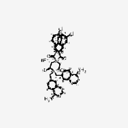 CCC[C@H]1C(=O)[N+](Cc2ccc3c(N)ncnc3c2)(Cc2ccc3c(N)ncnc3c2)[C@@H](C)C[N+]1(C(=O)c1cc2cc(Cl)ccc2s1)C(=O)c1cc2cc(Cl)ccc2s1